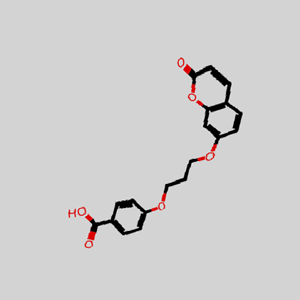 O=C(O)c1ccc(OCCCOc2ccc3ccc(=O)oc3c2)cc1